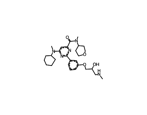 CNCC(O)COc1cccc(-c2nc(C(=O)N(C)C3CCOCC3)cc(N(C)C3CCCCC3)n2)c1